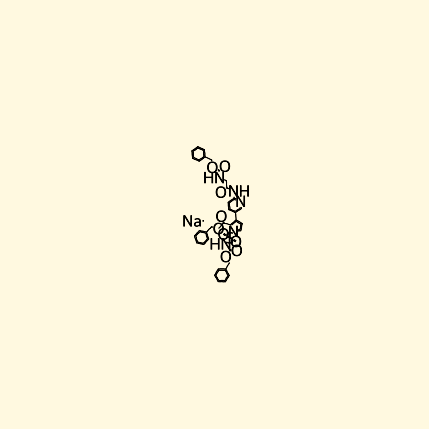 O=C(CNC(=O)OCc1ccccc1)Nc1ccc(-c2ccn(S(=O)(=O)NC(=O)OCc3ccccc3)c2C(=O)OCc2ccccc2)cn1.[Na]